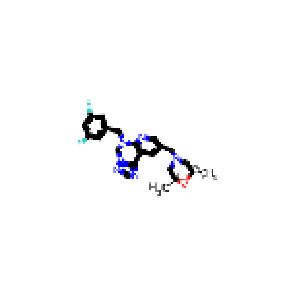 C[C@@H]1CN(Cc2cnc3c(c2)-c2ncnn2CN3Cc2cc(F)cc(F)c2)C[C@H](C)O1